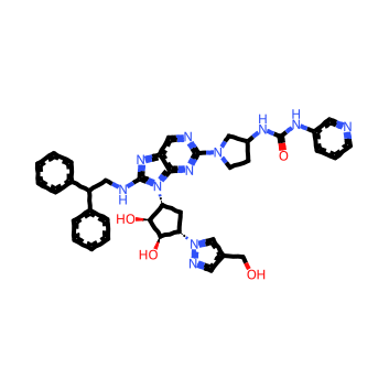 O=C(Nc1cccnc1)NC1CCN(c2ncc3nc(NCC(c4ccccc4)c4ccccc4)n([C@@H]4C[C@H](n5cc(CO)cn5)[C@@H](O)[C@H]4O)c3n2)C1